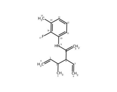 C=CC(C)C(C=C)C(=C)Nc1cccc(C)c1F